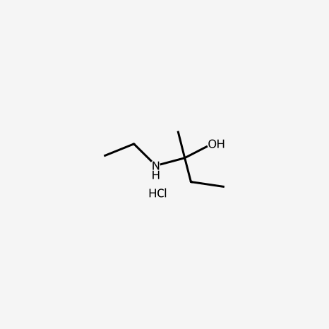 CCNC(C)(O)CC.Cl